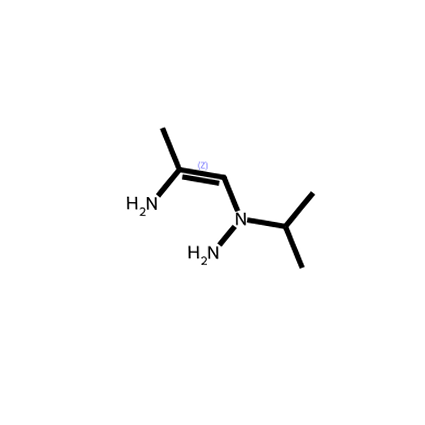 C/C(N)=C/N(N)C(C)C